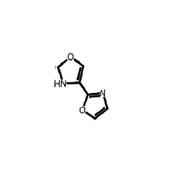 [C]1NC(c2ncco2)=CO1